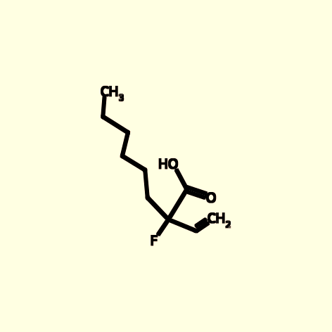 C=CC(F)(CCCCCC)C(=O)O